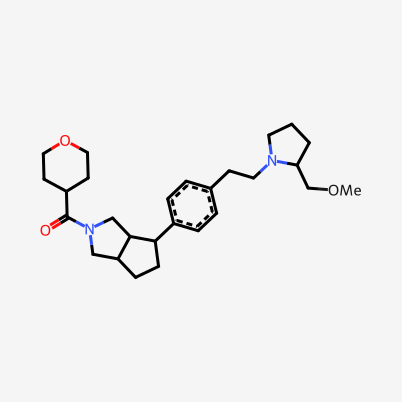 COCC1CCCN1CCc1ccc(C2CCC3CN(C(=O)C4CCOCC4)CC32)cc1